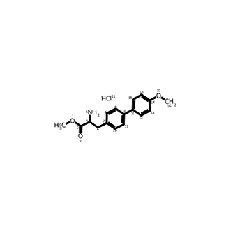 COC(=O)C(N)Cc1ccc(-c2ccc(OC)cc2)cc1.Cl